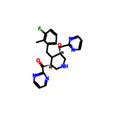 Cc1c(F)cccc1CC1[C@@H](C(=O)c2ncccn2)CNC[C@H]1C(=O)c1ncccn1